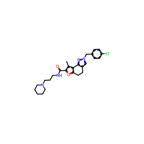 Cc1c(C(=O)NCCCN2CCCCC2)oc2c1-c1nn(Cc3ccc(Cl)cc3)cc1CC2